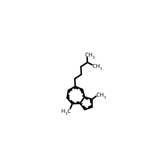 Cc1ccc(CCCC(C)C)cc2c(C)ccc1-2